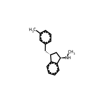 CN[C@@H]1C[C@@H](Cc2cccc(C)c2)c2ccccc21